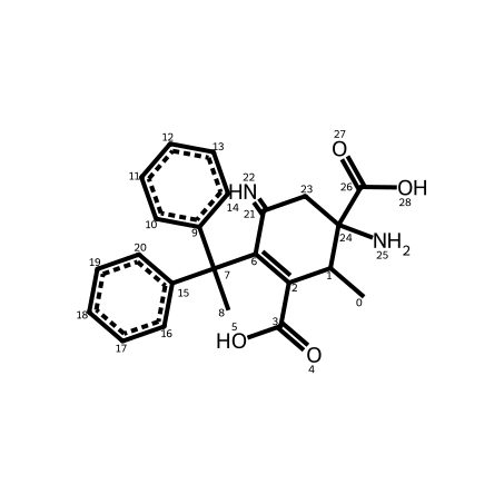 CC1C(C(=O)O)=C(C(C)(c2ccccc2)c2ccccc2)C(=N)CC1(N)C(=O)O